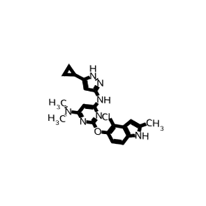 Cc1cc2c(Cl)c(Oc3nc(Nc4cc(C5CC5)[nH]n4)cc(N(C)C)n3)ccc2[nH]1